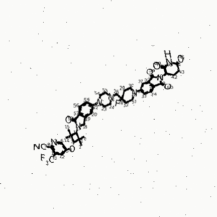 CC1(C)[C@H](Oc2cnc(C#N)c(C(F)(F)F)c2)C(C)(C)[C@H]1N1Cc2cc(N3CCN(CC4(F)CCN(c5ccc6c(c5)C(=O)N(C5CCC(=O)NC5=O)C6=O)CC4)CC3)ccc2C1=O